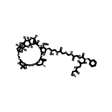 C=C1[C@H](C)C[C@@H]2CC[C@@H]3O[C@@H](CC[C@@]45C[C@H]6OC7C(O[C@H]8CC[C@H](CC(=O)C[C@@H]9[C@@H](OC)[C@@H](C[C@H](O)CNC(=O)COCNC(=O)CNC(=O)[C@H](Cc%10ccccc%10)NC(=O)CNC(=O)CN)O[C@H]9C[C@H]1O2)O[C@@H]8[C@@H]7O4)[C@H]6O5)CC3(C)C